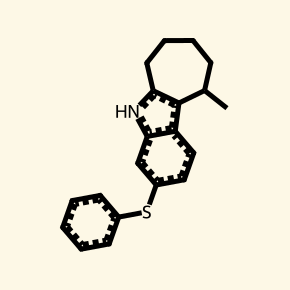 CC1CCCCc2[nH]c3cc(Sc4ccccc4)ccc3c21